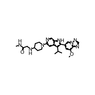 CNC(=O)CNC1CCN(c2cc3c(C(C)C)c(-c4cc(OC)c5ncnn5c4)[nH]c3cn2)CC1